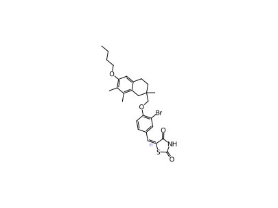 CCCCOc1cc2c(c(C)c1C)CC(C)(COc1ccc(/C=C3/SC(=O)NC3=O)cc1Br)CC2